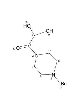 CC(C)(C)N1CCN(C(=O)C(O)O)CC1